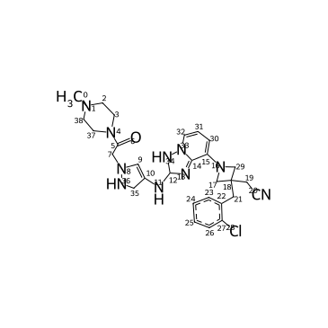 CN1CCN(C(=O)CN2C=C(NC3N=C4C(N5CC(CC#N)(Cc6ccccc6Cl)C5)=CC=CN4N3)CN2)CC1